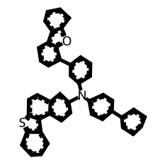 c1ccc(-c2ccc(N(c3cccc(-c4cccc5c4oc4ccccc45)c3)c3ccc4c(ccc5sc6ccccc6c54)c3)cc2)cc1